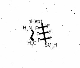 C=CCN.CCCCCCCC(F)(F)C(F)(F)C(F)(F)S(=O)(=O)O